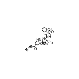 COc1cc(C(=O)NCCN(C)C)ccc1Nc1ncc(C(F)(F)F)c(N[C@@H]2Cc3ccccc3[C@H]2N(C)S(C)(=O)=O)n1